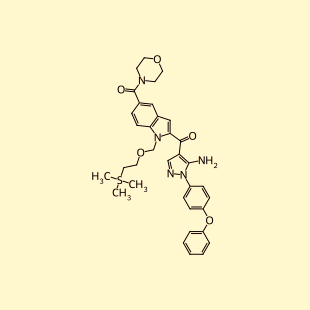 CS(C)(C)CCOCn1c(C(=O)c2cnn(-c3ccc(Oc4ccccc4)cc3)c2N)cc2cc(C(=O)N3CCOCC3)ccc21